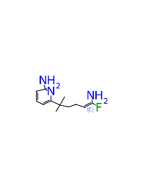 CC(C)(CC/C=C(\N)F)c1cccc(N)n1